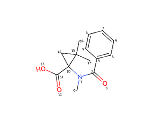 CN(C(=O)c1ccccc1)C1(C(=O)O)CC1(C)C